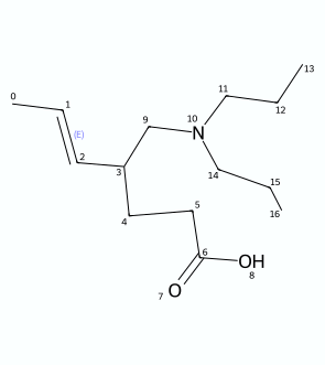 C/C=C/C(CCC(=O)O)CN(CCC)CCC